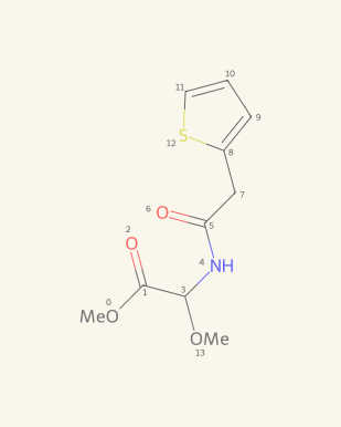 COC(=O)C(NC(=O)Cc1cccs1)OC